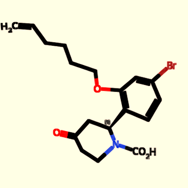 C=CCCCCOc1cc(Br)ccc1[C@@H]1CC(=O)CCN1C(=O)O